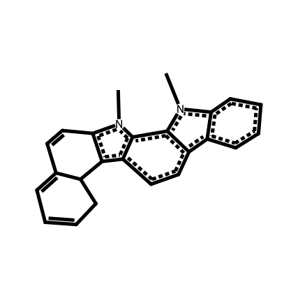 Cn1c2c(c3ccc4c5ccccc5n(C)c4c31)C1CC=CC=C1C=C2